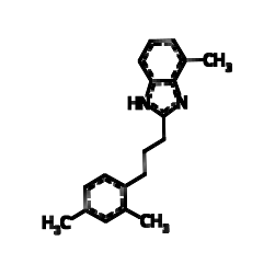 Cc1ccc(CCCc2nc3c(C)cccc3[nH]2)c(C)c1